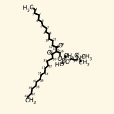 CCCCCCCCCCCCCC(=O)C(COP(=O)(O)OCC[N+](C)(C)C)C(=O)CCCCCCCCCCCCC